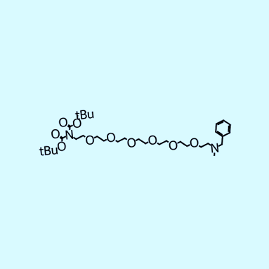 CN(CCOCCOCCOCCOCCOCCOCCN(C(=O)OC(C)(C)C)C(=O)OC(C)(C)C)Cc1ccccc1